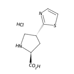 Cl.O=C(O)[C@@H]1C[C@@H](c2nccs2)CN1